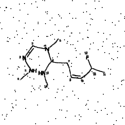 CN/N=C\N(C)C(C/C=C\C(C)F)NC